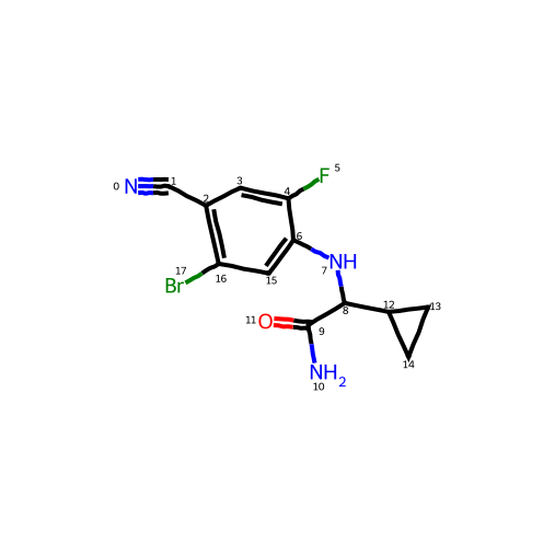 N#Cc1cc(F)c(NC(C(N)=O)C2CC2)cc1Br